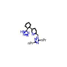 CCCc1nc(CCC)n(Cc2ccc(-c3ccccc3-c3nnn[nH]3)cn2)n1